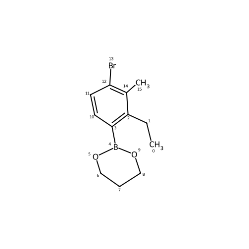 CCc1c(B2OCCCO2)ccc(Br)c1C